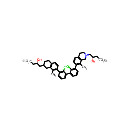 CCOC(=O)C[C@H](O)CC1CCc2ccc(-c3cccc(-c4cccc(-c5ccc6c(c5C)CN(C[C@@H](O)CC(=O)OCC)CC6)c4Cl)c3Cl)c(C)c2C1